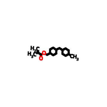 C=C(C)C(=O)OCC1CCC(CC2CCC(C)CC2)CC1